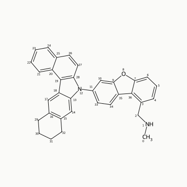 CNCc1cccc2oc3cc(-n4c5cc6c(cc5c5c7ccccc7ccc54)CCCC6)ccc3c12